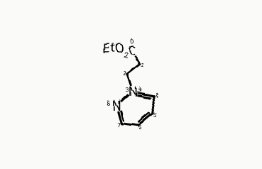 CCOC(=O)CC[n+]1ccccn1